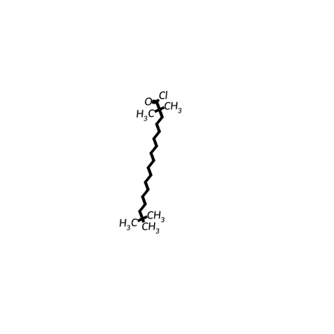 CC(C)(C)CCCCCCCCCCCCCCC(C)(C)C(=O)Cl